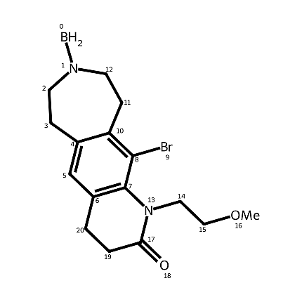 BN1CCc2cc3c(c(Br)c2CC1)N(CCOC)C(=O)CC3